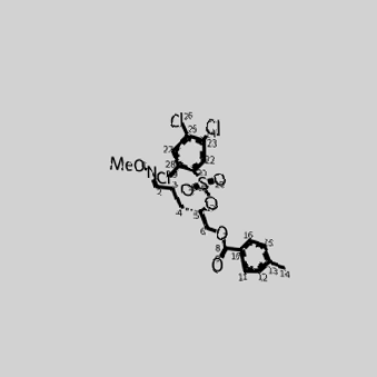 CO/N=C/CC[C@@H](COC(=O)c1ccc(C)cc1)OS(=O)(=O)c1cc(Cl)c(Cl)cc1Cl